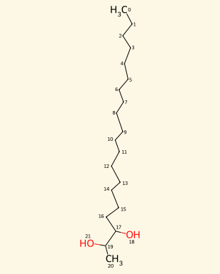 CCCCCCCCCCCCCCCCCC(O)C(C)O